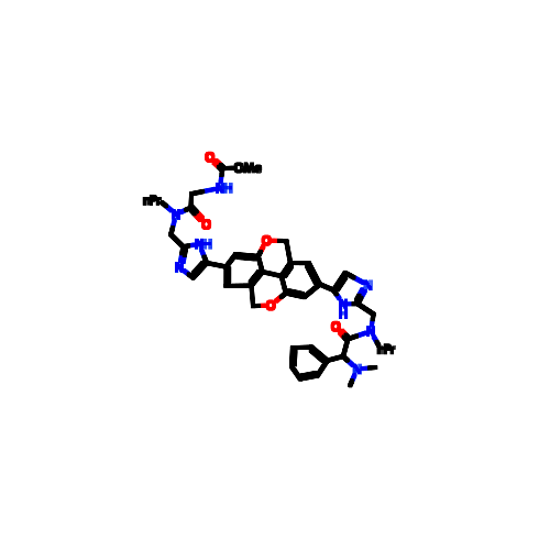 CCCN(Cc1ncc(-c2cc3c4c(c2)OCc2cc(-c5cnc(CN(CCC)C(=O)C(c6ccccc6)N(C)C)[nH]5)cc(c2-4)OC3)[nH]1)C(=O)CNC(=O)OC